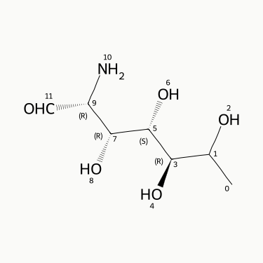 CC(O)[C@@H](O)[C@@H](O)[C@H](O)[C@@H](N)C=O